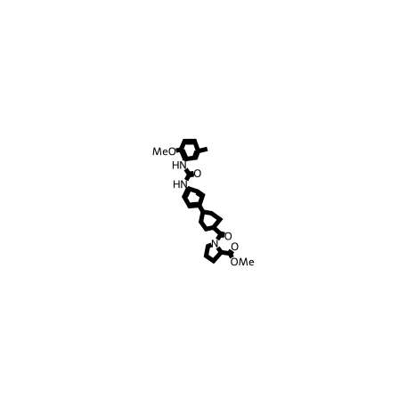 COC(=O)C1CCCN1C(=O)C1CCC(c2ccc(NC(=O)Nc3cc(C)ccc3OC)cc2)CC1